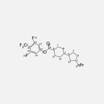 CCCC1CCC(C2CCC(C(=O)Oc3cc(F)c(C(F)(F)F)c(F)c3)CC2)C1